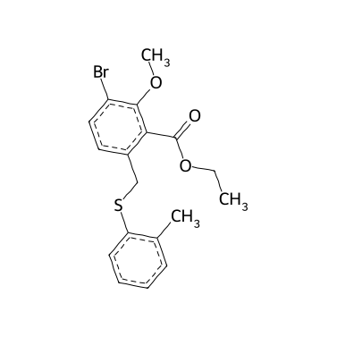 CCOC(=O)c1c(CSc2ccccc2C)ccc(Br)c1OC